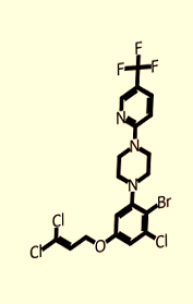 FC(F)(F)c1ccc(N2CCN(c3cc(OCC=C(Cl)Cl)cc(Cl)c3Br)CC2)nc1